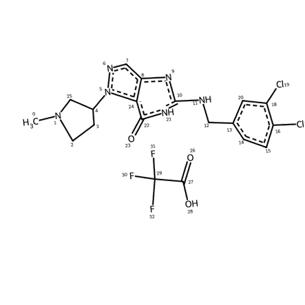 CN1CCC(n2ncc3nc(NCc4ccc(Cl)c(Cl)c4)[nH]c(=O)c32)C1.O=C(O)C(F)(F)F